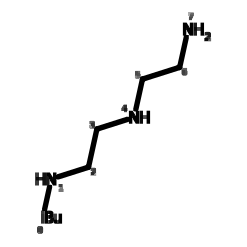 CCC(C)NCCNCCN